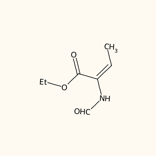 C/C=C(/NC=O)C(=O)OCC